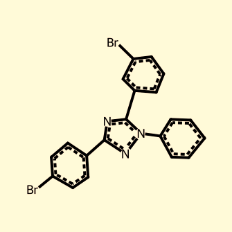 Brc1ccc(-c2nc(-c3cccc(Br)c3)n(-c3ccccc3)n2)cc1